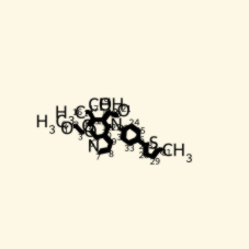 COCCOc1ncccc1C1C(C(=O)C(C)C)=C(O)C(=O)N1c1ccc(-c2ccc(C)s2)cc1